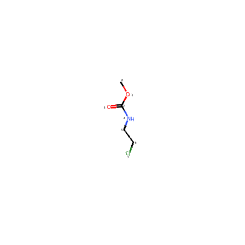 COC(=O)NCCCl